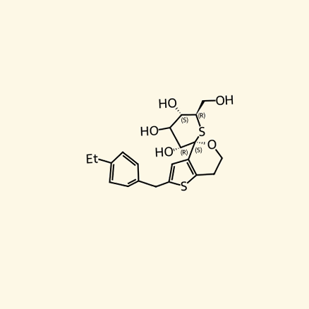 CCc1ccc(Cc2cc3c(s2)CCO[C@]32S[C@H](CO)[C@@H](O)C(O)[C@H]2O)cc1